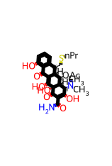 CCCSC[C@H]1c2cccc(O)c2C(=O)C2=C(O)[C@]3(O)C(=O)C(C(N)=O)=C(O)[C@@H](N(C)C)[C@@H]3[C@@H](OC(C)=O)[C@@H]21